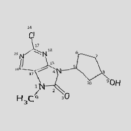 Cn1c(=O)n(C2CCC(O)C2)c2nc(Cl)ncc21